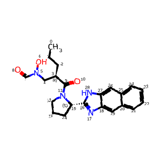 CCC[C@H](CN(O)C=O)C(=O)N1CCC[C@H]1c1nc2cc3ccccc3cc2[nH]1